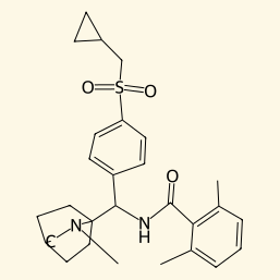 Cc1cccc(C)c1C(=O)NC(c1ccc(S(=O)(=O)CC2CC2)cc1)C12CCC(CC1)CN2C